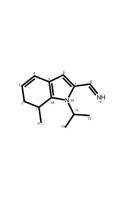 CC1CC=Cc2cc(C=N)n(C(C)C)c21